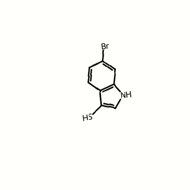 Sc1c[nH]c2cc(Br)ccc12